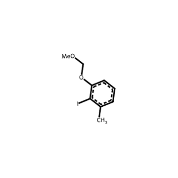 COCOc1cccc(C)c1I